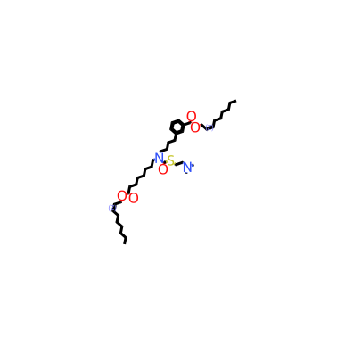 CCCCCC/C=C\COC(=O)CCCCCCCN(CCCCc1cccc(C(=O)OC/C=C\CCCCCC)c1)C(=O)SCCN(C)C